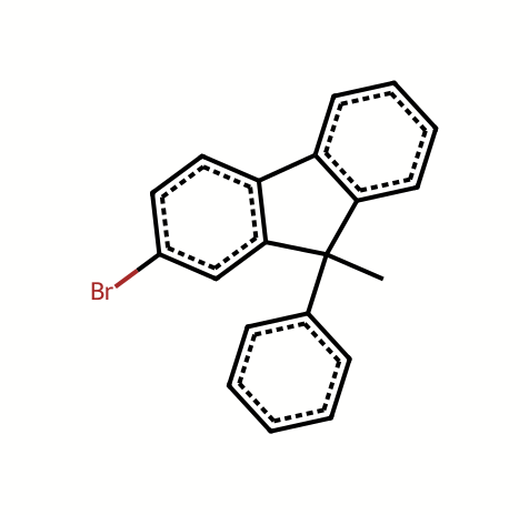 CC1(c2ccccc2)c2ccccc2-c2ccc(Br)cc21